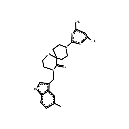 Cc1cc(C)nc(N2CCC3(CC2)OCCN(Cc2c[nH]c4ccc(F)cc24)C3=O)n1